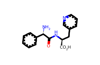 N[C@H](C(=O)N[C@@H](Cc1cccnc1)C(=O)O)c1ccccc1